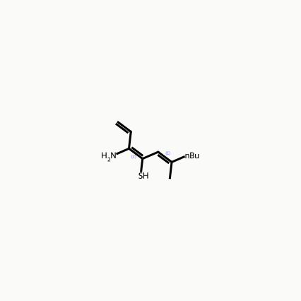 C=C/C(N)=C(S)\C=C(/C)CCCC